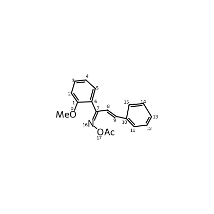 COc1ccccc1C(C=Cc1ccccc1)=NOC(C)=O